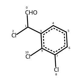 O=CC(Cl)c1cccc(Cl)c1Cl